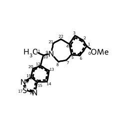 COc1ccc2c(c1)CCN(C(C)c1ccc3nsnc3c1)CC2